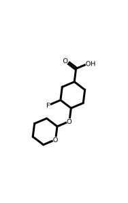 O=C(O)C1CCC(OC2CCCCO2)C(F)C1